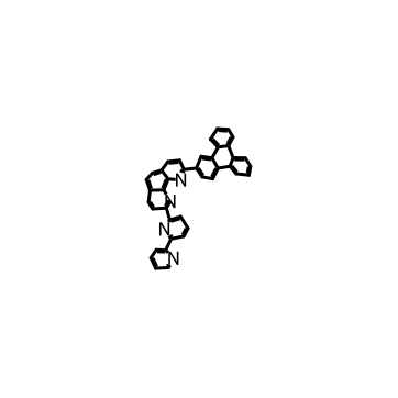 c1ccc(-c2cccc(-c3ccc4ccc5ccc(-c6ccc7c8ccccc8c8ccccc8c7c6)nc5c4n3)n2)nc1